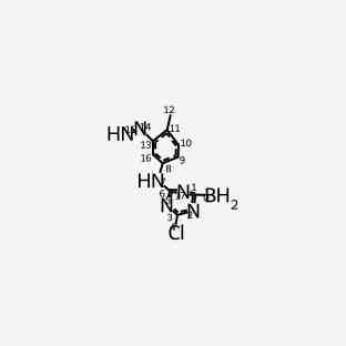 Bc1nc(Cl)nc(Nc2ccc(C)c(N=N)c2)n1